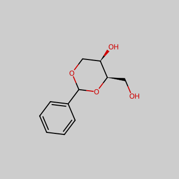 OC[C@H]1OC(c2ccccc2)OC[C@H]1O